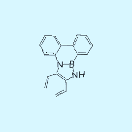 C=CC1=C(C=C)N2B(N1)c1ccccc1-c1ccccc12